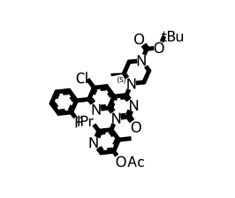 CC(=O)Oc1cnc(C(C)C)c(-n2c(=O)nc(N3CCN(C(=O)OC(C)(C)C)C[C@@H]3C)c3cc(Cl)c(-c4ccccc4F)nc32)c1C